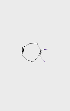 IC1=C(I)CCC=CCC1.[Pt]